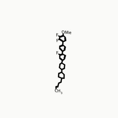 C/C=C/CCC1CCC(C2CCC(c3ccc(-c4ccc(-c5ccc(OC)c(F)c5F)cc4)c(F)c3)CC2)CC1